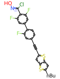 CCCCc1cc2sc(C#Cc3ccc(-c4cc(F)c(/C(Cl)=N/O)c(F)c4)c(F)c3)cc2s1